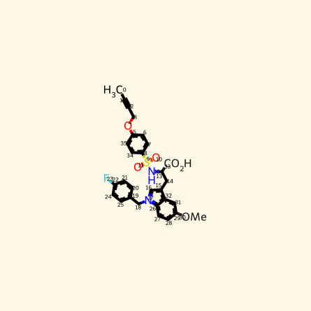 CC#CCOc1ccc(S(=O)(=O)NC(Cc2cn(Cc3ccc(F)cc3)c3ccc(OC)cc23)C(=O)O)cc1